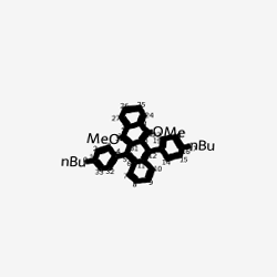 CCCCc1ccc(-c2c3ccccc3c(-c3ccc(CCCC)cc3)c3c(OC)c4ccccc4c(OC)c23)cc1